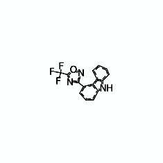 FC(F)(F)c1nc(-c2cccc3[nH]c4ccccc4c23)no1